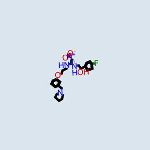 O=[N+]([O-])/C=C(\NCCCOc1cccc(CN2CCCCC2)c1)NCC(O)c1ccc(F)cc1